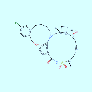 C[C@@H]1C/C=C\C[C@H](O)[C@@H]2CC[C@H]2CN2CCCCc3cc(Cl)ccc3COc3ccc(cc32)C(=O)NS1(=O)=O